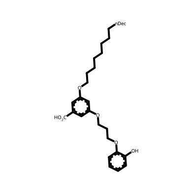 CCCCCCCCCCCCCCCCCCOc1cc(OCCCOc2ccccc2O)cc(C(=O)O)c1